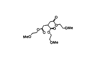 COCCOC(=O)CC(CC(=O)OCCOC)C(=O)OCCOC